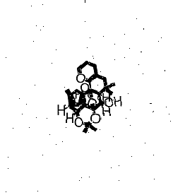 C=C1C(=O)[C@@]23[C@@H]4OC(C)(C)O[C@]25OC[C@]2(C6=C(CCCO6)CC(C)(C)[C@H]2[C@@H]5O)[C@@H]3CC[C@@H]14